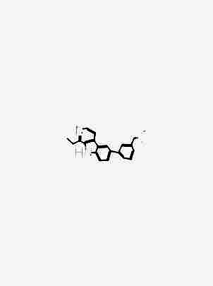 CCc1nccc2c1[nH]c1ccc(-c3cccc(COC)c3)cc12